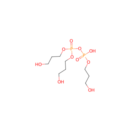 O=P(O)(OCCCO)OP(=O)(OCCCO)OCCCO